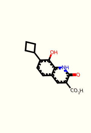 O=C(O)c1cc2ccc(C3CCC3)c(O)c2[nH]c1=O